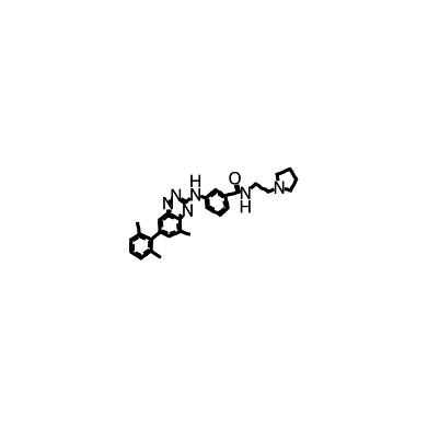 Cc1cccc(C)c1-c1cc(C)c2nc(Nc3cccc(C(=O)NCCN4CCCC4)c3)nnc2c1